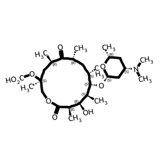 C[C@H]1[C@@H](O)[C@@H](C)C(=O)OC[C@@](C)(OC(=O)O)C[C@@H](C)C(=O)[C@H](C)C[C@H](C)[C@@H]1O[C@H]1C[C@@H](N(C)C)C[C@@H](C)O1